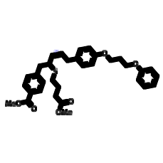 COC(=O)CCCSC(/C=C\Cc1ccc(OCCCOc2ccccc2)cc1)Cc1ccc(C(=O)OC)cc1